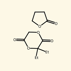 CCC1(CC)OC(=O)COC1=O.O=C1CCCO1